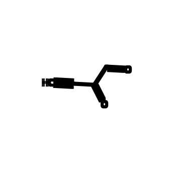 C#CC(=O)C=O